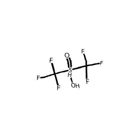 O=[SH](O)(C(F)(F)F)C(F)(F)F